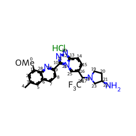 COc1cc(C)cc2ccc(-c3nnc4ccc([C@@H](N5CCC(N)C5)C(F)(F)F)cn34)nc12.Cl